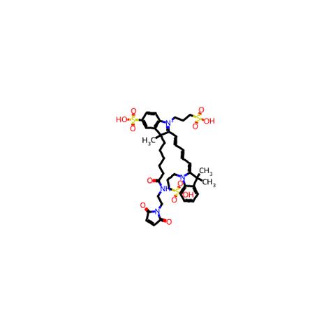 CC1(CCCCCC(=O)NCCN2C(=O)C=CC2=O)C(/C=C/C=C/C=C2\N(CCCS(=O)(=O)O)c3ccccc3C2(C)C)=[N+](CCCS(=O)(=O)O)c2ccc(S(=O)(=O)O)cc21